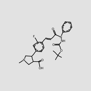 CN1CC(C(=O)O)C(c2ccc(C=CC(=O)N(NC(=O)OC(C)(C)C)c3ccccc3)c(F)c2)C1